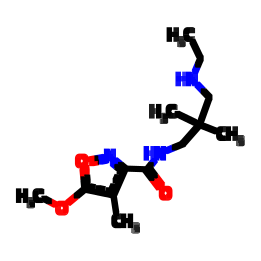 CCNCC(C)(C)CNC(=O)c1noc(OC)c1C